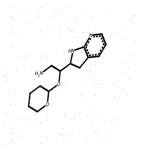 NCC(OC1CCCCO1)C1Cc2cccnc2N1